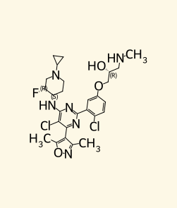 CNC[C@@H](O)COc1ccc(Cl)c(-c2nc(N[C@H]3CCN(C4CC4)C[C@H]3F)c(Cl)c(-c3c(C)noc3C)n2)c1